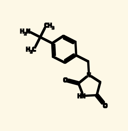 CC(C)(N)c1ccc(CN2CC(=O)NC2=O)cc1